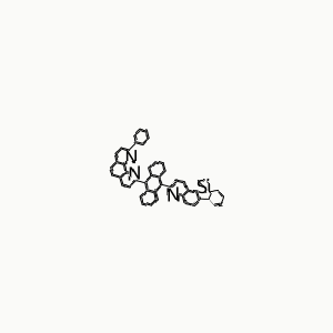 C[Si]1(C)c2c(ccc3nc(-c4c5ccccc5c(-c5ccc6ccc7ccc(-c8ccccc8)nc7c6n5)c5ccccc45)ccc23)C2C=CC=CC21